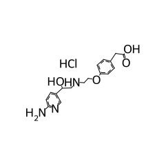 Cl.Nc1ccc(C(O)CNCCOc2ccc(CC(=O)O)cc2)cn1